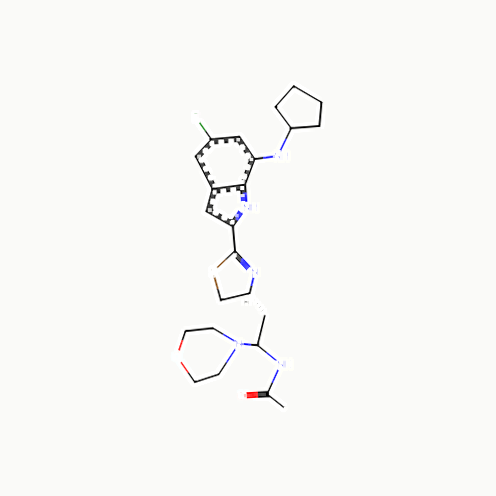 CC(=O)NC(C[C@@H]1CSC(c2cc3cc(F)cc(NC4CCCC4)c3[nH]2)=N1)N1CCOCC1